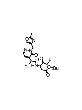 CCC(C(=O)NC(CC(=O)OC(C)(C)C)C(=O)CF)c1ccnn(Cc2coc(C)n2)c1=O